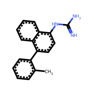 Cc1c[c]ccc1-c1ccc(NC(=N)N)c2ccccc12